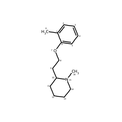 Cc1ccccc1OCCC1CCCCN1C